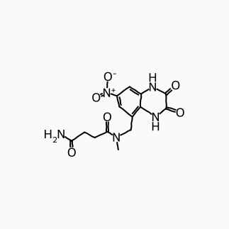 CN(Cc1cc([N+](=O)[O-])cc2[nH]c(=O)c(=O)[nH]c12)C(=O)CCC(N)=O